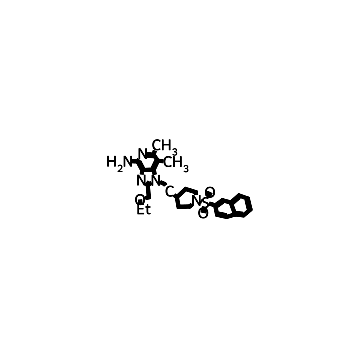 CCOCc1nc2c(N)nc(C)c(C)c2n1CCC1CCN(S(=O)(=O)c2ccc3ccccc3c2)CC1